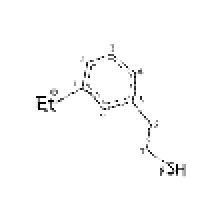 CCc1cccc(CCS)c1